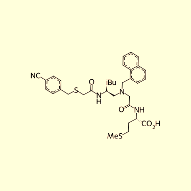 CC[C@H](C)[C@@H](CN(CC(=O)N[C@@H](CCSC)C(=O)O)Cc1cccc2ccccc12)NC(=O)CSCc1ccc(C#N)cc1